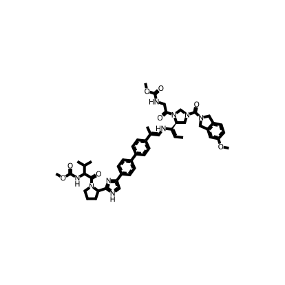 C/C=C(/N/C=C(\C)c1ccc(-c2ccc(-c3c[nH]c(C4CCCN4C(=O)C(NC(=O)OC)C(C)C)n3)cc2)cc1)[C@@H]1CN(C(=O)N2Cc3ccc(OC)cc3C2)CN1C(=O)CNC(=O)OC